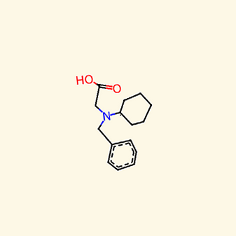 O=C(O)CN(Cc1ccccc1)[C]1CCCCC1